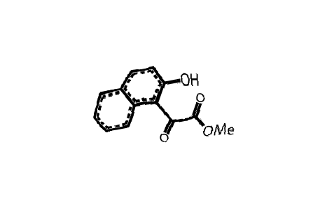 COC(=O)C(=O)c1c(O)ccc2ccccc12